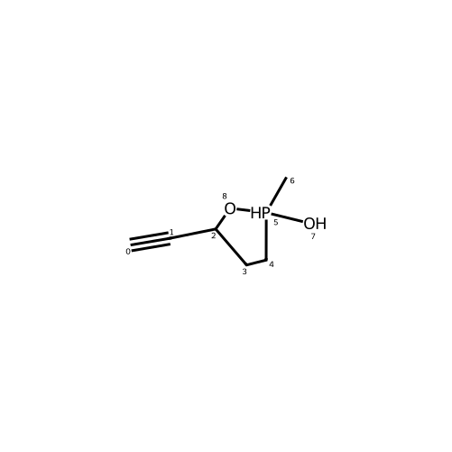 C#CC1CC[PH](C)(O)O1